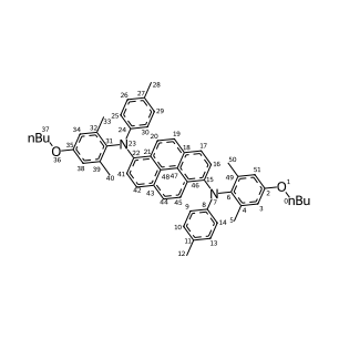 CCCCOc1cc(C)c(N(c2ccc(C)cc2)c2ccc3ccc4c(N(c5ccc(C)cc5)c5c(C)cc(OCCCC)cc5C)ccc5ccc2c3c54)c(C)c1